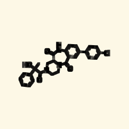 CC(O)(C(=O)N1CCN2C(=O)c3cc(-c4ccc(Cl)cc4)ccc3NC(=O)C2C1)c1ccccc1